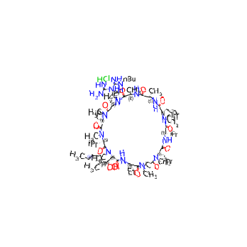 C/C=C/C[C@@H](C)[C@@H](O)[C@H]1C(=O)N[C@@H](CC)C(=O)N(C)CC(=O)N(C)[C@@H](CC(C)C)C(=O)N[C@@H](C(C)C)C(=O)N(C)[C@@H](CC(C)C)C(=O)N[C@@H](C)C(=O)N[C@H](C)C(=O)N(C)[C@@H](CC(C)C)C(=O)N(C)[C@@H](CC(C)C)C(=O)N(C)[C@@H](C(C)C)C(=O)N1C.CCCCNC(=N)NC(=N)N.Cl